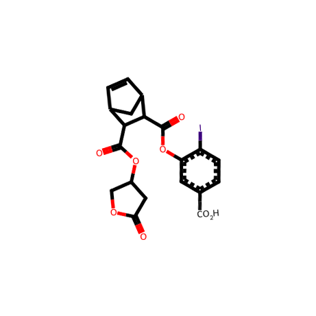 O=C1CC(OC(=O)C2C3C=CC(C3)C2C(=O)Oc2cc(C(=O)O)ccc2I)CO1